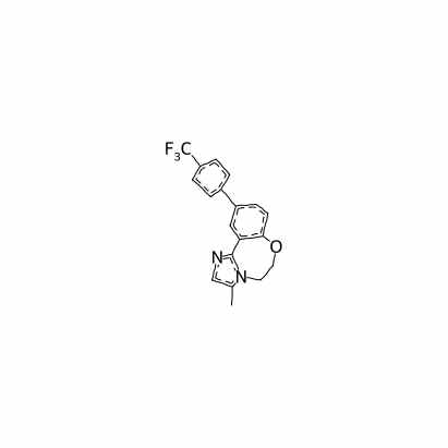 Cc1cnc2n1CCOc1ccc(-c3ccc(C(F)(F)F)cc3)cc1-2